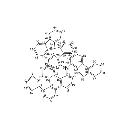 c1ccc(-c2ccccc2-c2ccccc2-c2ccccc2N(c2cccc3c2-c2ccccc2C32c3ccccc3-c3ccccc32)c2cccc3c2ccc2ccccc23)cc1